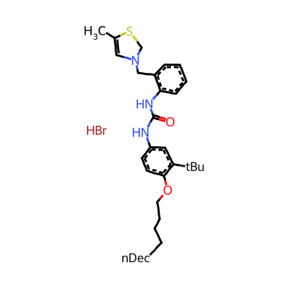 Br.CCCCCCCCCCCCCCOc1ccc(NC(=O)Nc2ccccc2CN2C=C(C)SC2)cc1C(C)(C)C